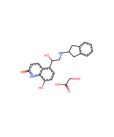 O=C(O)CO.O=c1ccc2c(C(O)CNC3Cc4ccccc4C3)ccc(O)c2[nH]1